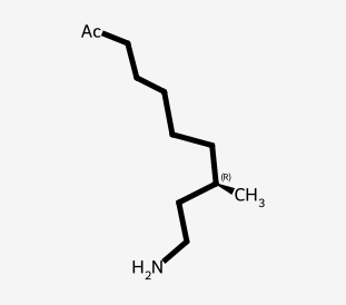 CC(=O)CCCCC[C@@H](C)CCN